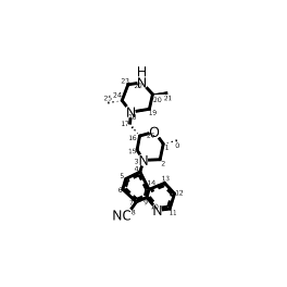 C[C@@H]1CN(c2ccc(C#N)c3ncccc23)C[C@H](CN2C[C@H](C)NC[C@H]2C)O1